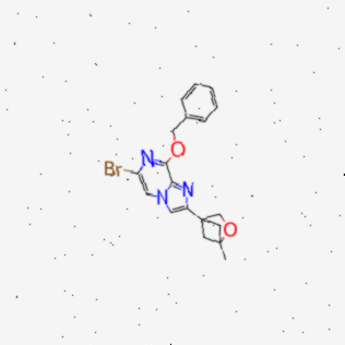 CC12CC(c3cn4cc(Br)nc(OCc5ccccc5)c4n3)(CO1)C2